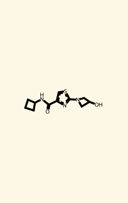 O=C(NC1CCC1)c1csc(N2CC(O)C2)n1